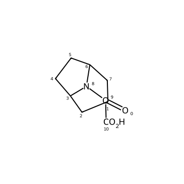 O=C1CC2CCC(C1)N2OC(=O)O